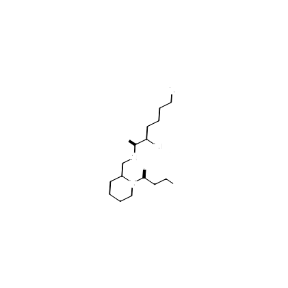 CCCCCCCCCCCCC(=O)N1CCCCC1CNC(=O)C(N)CCCCN.Cl.Cl